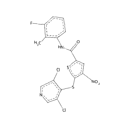 Cc1c(F)cccc1NC(=O)c1cc([N+](=O)[O-])c(Sc2c(Cl)cncc2Cl)s1